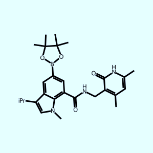 Cc1cc(C)c(CNC(=O)c2cc(B3OC(C)(C)C(C)(C)O3)cc3c(C(C)C)cn(C)c23)c(=O)[nH]1